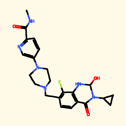 CNC(=O)c1ccc(N2CCN(Cc3ccc4c(c3F)NC(O)N(C3CC3)C4=O)CC2)cn1